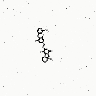 Cc1cc(Oc2c(F)cc(COc3nc(=O)n4c(c3F)N3CCOC[C@@]3(C)C4)cc2F)ccn1